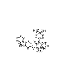 CCCc1c(Cc2ccc(-c3ccccc3C#N)cc2)c(=O)n([C@H]2CC[C@@](C)(O)CC2)c2ncnn12